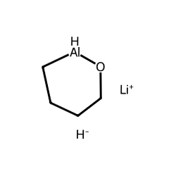 C1C[CH2][AlH][O]C1.[H-].[Li+]